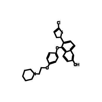 Oc1ccc2c(Oc3ccc(OCCN4CCCCC4)cc3)c(C3CC=C(Cl)S3)ccc2c1